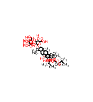 C/C=C(/C)C(=O)OC(C)C(=O)O[C@H]1[C@H](OC(=O)C(C)CC)[C@@]2(CO)C(CC1(C)C)C1=CCC3[C@@]4(C)CC[C@H](O[C@@H]5OC(C(=O)O)[C@@H](O)[C@@H](O[C@@H]6O[C@@H](CO)[C@@H](O)C6O)C5O[C@@H]5OC(CO)[C@H](O)[C@@H](O)C5O)C(C)(C)C4CC[C@@]3(C)[C@]1(C)[C@@H](O)[C@H]2O